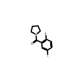 O=C(c1cc(I)ccc1F)N1CCCC1